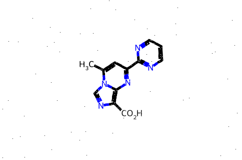 Cc1cc(-c2ncccn2)nc2c(C(=O)O)ncn12